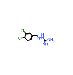 N=C(N)N/N=C/C1=CCC(Cl)C(Cl)=C1